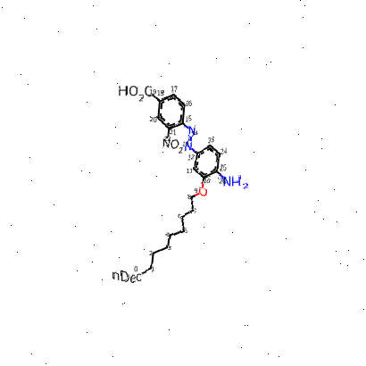 CCCCCCCCCCCCCCCCCCOc1cc(N=Nc2ccc(C(=O)O)cc2[N+](=O)[O-])ccc1N